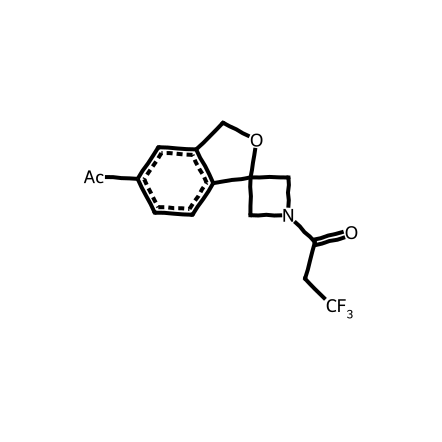 CC(=O)c1ccc2c(c1)COC21CN(C(=O)CC(F)(F)F)C1